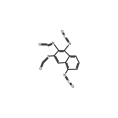 O=C=Nc1cc2c(N=C=O)cccc2c(N=C=O)c1N=C=O